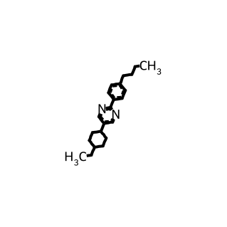 CCCCc1ccc(-c2ncc(C3CCC(CC)CC3)cn2)cc1